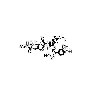 CNC(=O)OCC1=C(C(=O)O)N2C(=O)[C@@H](NC(=O)/C(=N\O[C@H](C(=O)O)c3ccc(O)c(O)c3)c3csc(N)n3)[C@H]2SC1